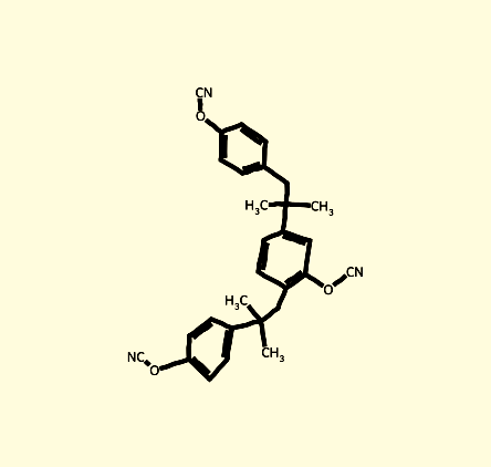 CC(C)(Cc1ccc(OC#N)cc1)c1ccc(CC(C)(C)c2ccc(OC#N)cc2)c(OC#N)c1